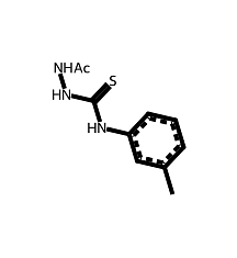 [CH2]C(=O)NNC(=S)Nc1cccc(C)c1